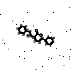 O=c1oc(-c2cccnc2)ccc1NCc1ccccc1